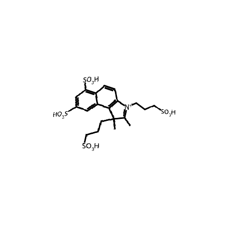 CC1=[N+](CCCS(=O)(=O)O)c2ccc3c(S(=O)(=O)O)cc(S(=O)(=O)O)cc3c2C1(C)CCCS(=O)(=O)O